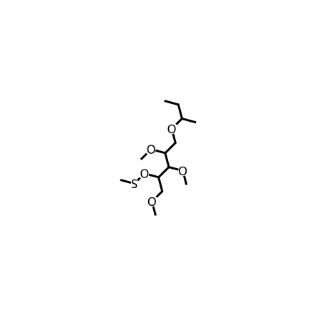 CCC(C)OCC(OC)C(OC)C(COC)OSC